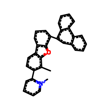 Cc1c(-c2cccc[n+]2C)ccc2c1oc1c(-c3cc4ccccc4c4ccccc34)cccc12